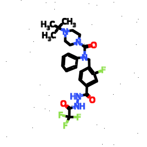 CC(C)(C)N1CCN(C(=O)N(Cc2ccc(C(=O)NNC(=O)C(F)(F)F)cc2F)c2ccccc2)CC1